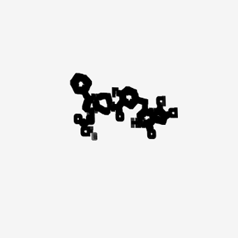 O=C(c1cc(Cc2c[nH]c(=O)c3cc(Cl)c(Cl)n23)ccc1F)N1CCn2c(-c3ccccc3)c[n+](OC(=O)C(F)(F)F)c2C1